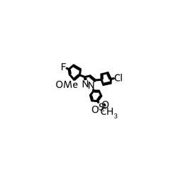 COc1cc(F)ccc1-c1cc(-c2ccc(Cl)cc2)n(-c2ccc(S(C)(=O)=O)cc2)n1